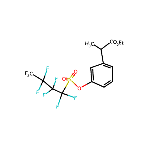 CCOC(=O)C(C)c1cccc(OS(=O)(=O)C(F)(F)C(F)(F)C(F)(F)C(F)(F)F)c1